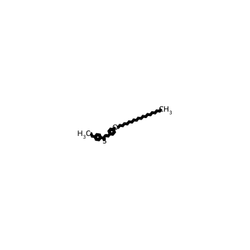 CCCCCCCCCCCCCCCCCCCCOc1ccc(C=CC(=S)c2ccc(CCC)cc2)cc1